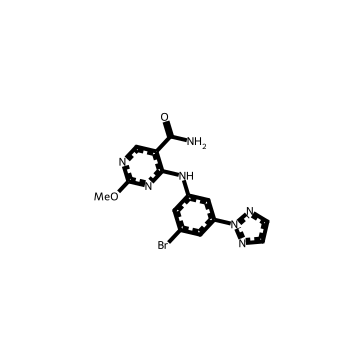 COc1ncc(C(N)=O)c(Nc2cc(Br)cc(-n3nccn3)c2)n1